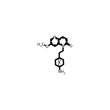 COc1cnc2ccc(=O)n(CCC34CCC(N)(CC3)CO4)c2c1